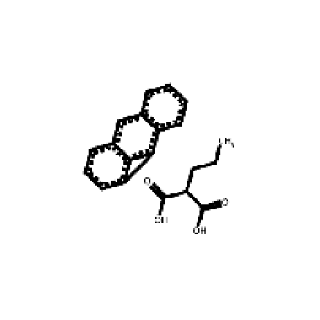 CCCC(C(=O)O)C(=O)O.c1ccc2c3c4c-3cccc4cc2c1